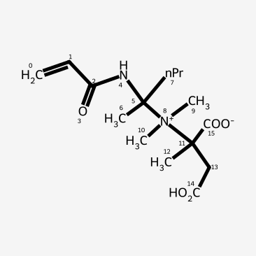 C=CC(=O)NC(C)(CCC)[N+](C)(C)C(C)(CC(=O)O)C(=O)[O-]